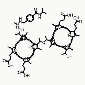 CC1=C(CCC(=O)O)c2cc3nc(cc4[nH]c(cc5[nH]c(cc1n2)c(C)c5C(C)O)c(C)c4C(C)OC(C)c1c(C)c2cc4nc(cc5nc(cc6[nH]c(cc1[nH]2)c(C)c6C(C)O)C(C)=C5CCC(=O)O)C(CCC(=O)O)=C4C)C(C)=C3CCC(=O)O.CNNCc1ccc(C(=O)NC(C)C)cc1